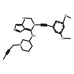 CC#CCN1CCCC(NC2=C3C=NC=C3NCN2C#Cc2cc(OC)cc(OC)c2)C1